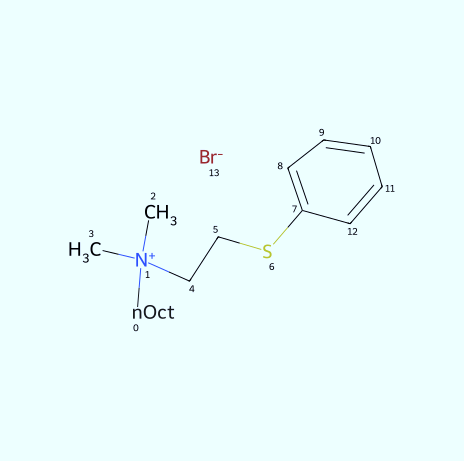 CCCCCCCC[N+](C)(C)CCSc1ccccc1.[Br-]